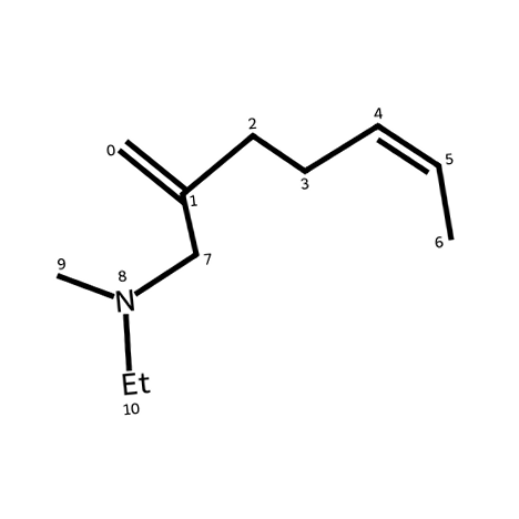 C=C(CC/C=C\C)CN(C)CC